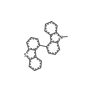 Cn1c2ccccc2c2c(-c3cccc4sc5ccccc5c34)cccc21